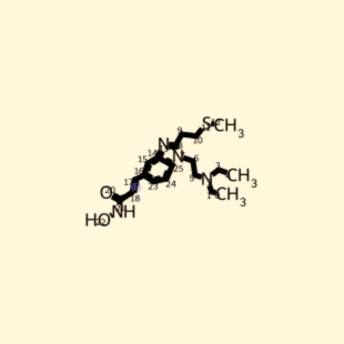 CCN(CC)CCn1c(CCSC)nc2cc(/C=C/C(=O)NO)ccc21